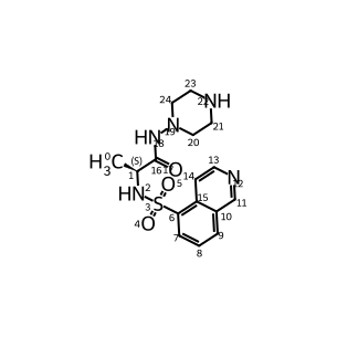 C[C@H](NS(=O)(=O)c1cccc2cnccc12)C(=O)NN1CCNCC1